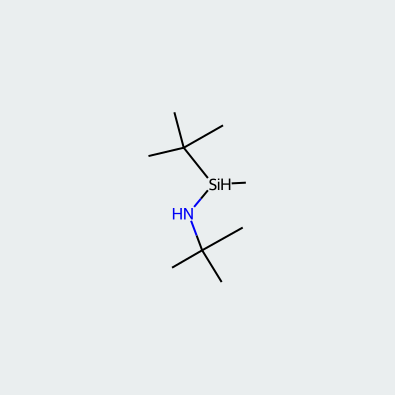 C[SiH](NC(C)(C)C)C(C)(C)C